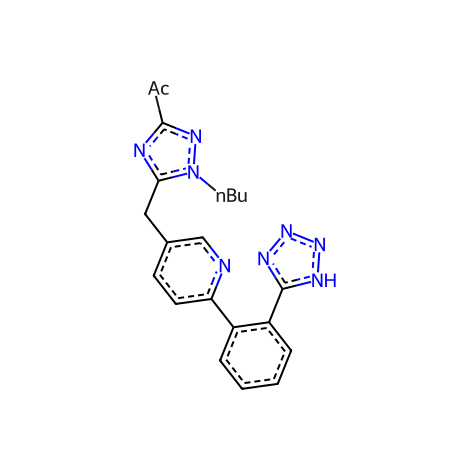 CCCCn1nc(C(C)=O)nc1Cc1ccc(-c2ccccc2-c2nnn[nH]2)nc1